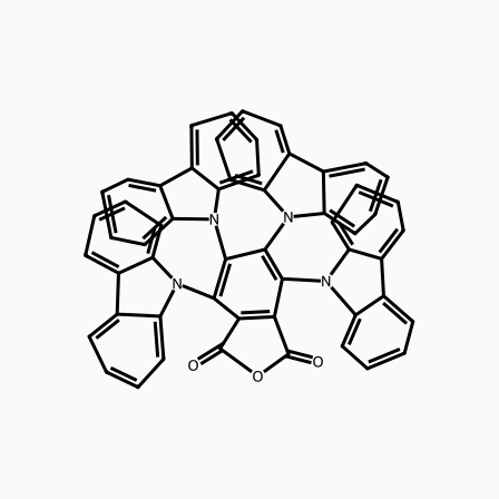 O=C1OC(=O)c2c1c(-n1c3ccccc3c3ccccc31)c(-n1c3ccccc3c3ccccc31)c(-n1c3ccccc3c3ccccc31)c2-n1c2ccccc2c2ccccc21